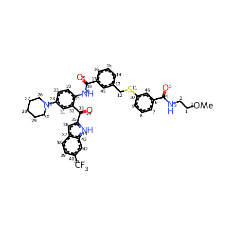 COCCNC(=O)c1cccc(SCc2cccc(C(=O)Nc3ccc(N4CCCCC4)cc3C(=O)c3cc4ccc(C(F)(F)F)cc4[nH]3)c2)c1